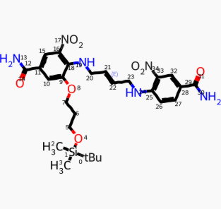 CC(C)(C)[Si](C)(C)OCCCOc1cc(C(N)=O)cc([N+](=O)[O-])c1NC/C=C/CNc1ccc(C(N)=O)cc1[N+](=O)[O-]